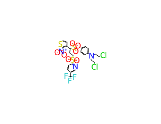 O=[N+]([O-])c1sccc1C(CCS(=O)(=O)c1ccc(C(F)(F)F)cn1)S(=O)(=O)Oc1ccc(N(CCCl)CCCl)cc1